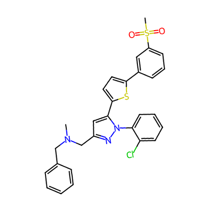 CN(Cc1ccccc1)Cc1cc(-c2ccc(-c3cccc(S(C)(=O)=O)c3)s2)n(-c2ccccc2Cl)n1